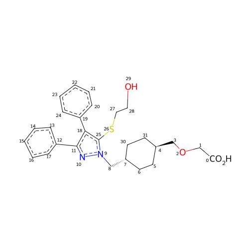 O=C(O)COC[C@H]1CC[C@H](Cn2nc(-c3ccccc3)c(-c3ccccc3)c2SCCO)CC1